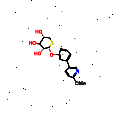 COc1ccc(-c2cccc(O[C@H]3SC[C@@H](O)[C@H](O)[C@H]3O)c2)cn1